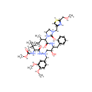 CCC(C)C(C(=O)NC(Cc1ccccc1)C(O)CN(Cc1ccc(OC)c(OC)c1)NC(=O)C(NC(=O)OC)C(C)(C)C)N1CCN(Cc2csc(COC)n2)C1=O